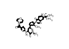 Cc1c(-c2cc(Nc3ccc(C(=O)N4CCOCC4)cn3)c(=O)n(C)n2)cccc1-n1cnc2cc(C(C)(C)C)ccc2c1=O